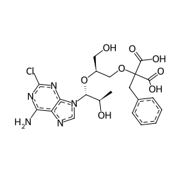 C[C@@H](O)[C@@H](O[C@@H](CO)COC(Cc1ccccc1)(C(=O)O)C(=O)O)n1cnc2c(N)nc(Cl)nc21